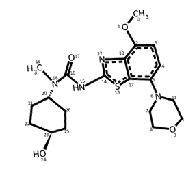 COc1ccc(N2CCOCC2)c2sc(NC(=O)N(C)[C@H]3CC[C@H](O)CC3)nc12